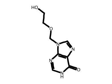 O=c1[nH]cnc2c1ncn2COCCO